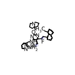 CCc1cccc2cccc(/C=C(\F)c3nc(OCC45CCCN4CCC5)nc(NCc4cccnc4N)c3/C=N\C)c12